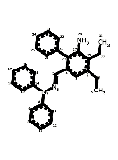 CCc1cc(C=NN(c2ccccc2)c2ccccc2)c(-c2ccccc2)c(N)c1CC